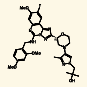 COc1ccc(CNc2nc3cc(OC)c(F)cc3c3nc([C@H]4CN(c5cn(CC(C)(C)O)nc5C)CCO4)nn23)c(OC)c1